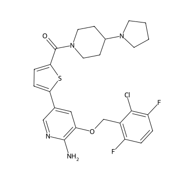 Nc1ncc(-c2ccc(C(=O)N3CCC(N4CCCC4)CC3)s2)cc1OCc1c(F)ccc(F)c1Cl